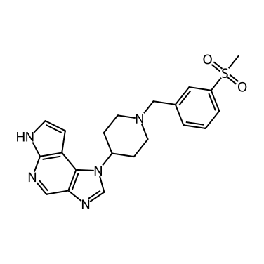 CS(=O)(=O)c1cccc(CN2CCC(n3cnc4cnc5[nH]ccc5c43)CC2)c1